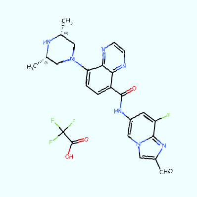 C[C@@H]1CN(c2ccc(C(=O)Nc3cc(F)c4nc(C=O)cn4c3)c3nccnc23)C[C@H](C)N1.O=C(O)C(F)(F)F